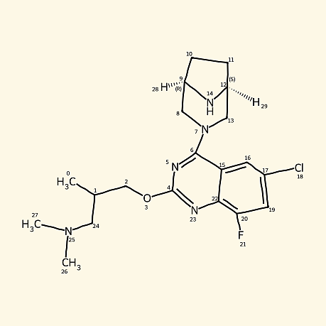 CC(COc1nc(N2C[C@H]3CC[C@@H](C2)N3)c2cc(Cl)cc(F)c2n1)CN(C)C